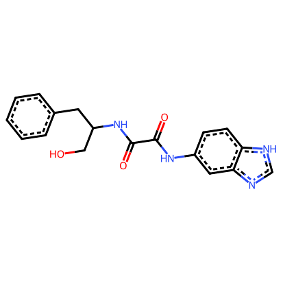 O=C(Nc1ccc2[nH]cnc2c1)C(=O)NC(CO)Cc1ccccc1